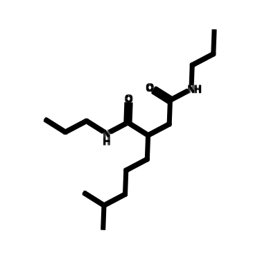 CCCNC(=O)CC(CCCC(C)C)C(=O)NCCC